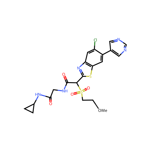 COCCS(=O)(=O)C(C(=O)NCC(=O)NC1CC1)c1nc2cc(Cl)c(-c3cncnc3)cc2s1